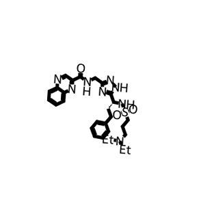 CCN(CC)CCCS(=O)(=O)N[C@H](CCc1ccccc1)c1nc(CNC(=O)c2cnc3ccccc3n2)n[nH]1